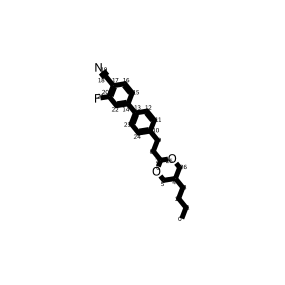 CCCCC1COC(CCc2ccc(-c3ccc(C#N)c(F)c3)cc2)OC1